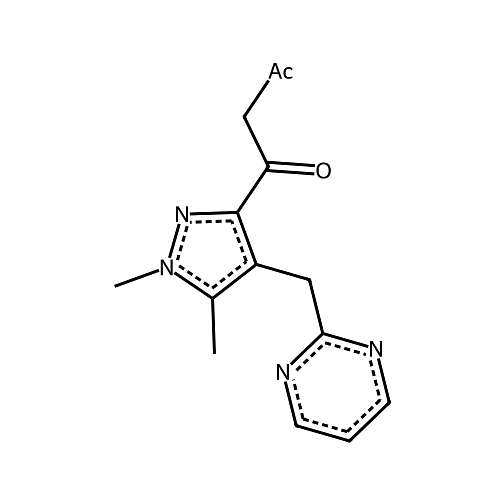 CC(=O)CC(=O)c1nn(C)c(C)c1Cc1ncccn1